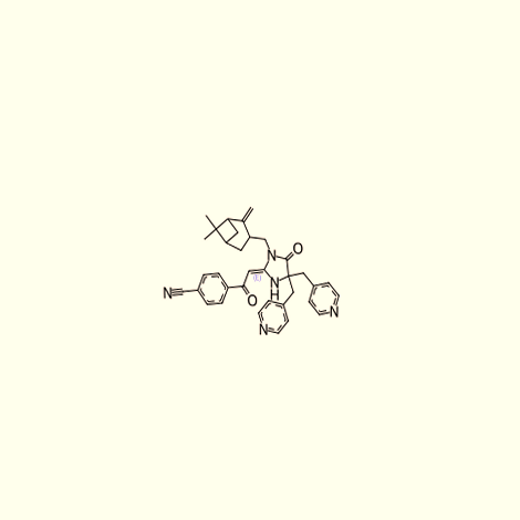 C=C1C(CN2C(=O)C(Cc3ccncc3)(Cc3ccncc3)N/C2=C\C(=O)c2ccc(C#N)cc2)CC2CC1C2(C)C